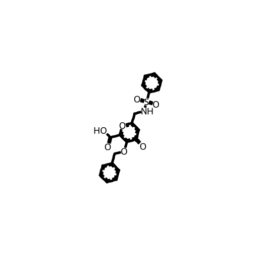 O=C(O)c1oc(CNS(=O)(=O)c2ccccc2)cc(=O)c1OCc1ccccc1